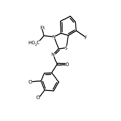 CCC(C(=O)O)n1c(=NC(=O)c2ccc(Cl)c(Cl)c2)sc2c(F)cccc21